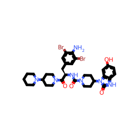 Nc1c(Br)cc(C[C@@H](NC(=O)N2CCC(n3c(=O)[nH]c4ccc(O)cc43)CC2)C(=O)N2CCC(N3CCCCC3)CC2)cc1Br